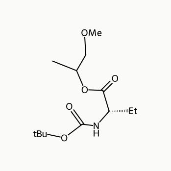 CC[C@H](NC(=O)OC(C)(C)C)C(=O)OC(C)COC